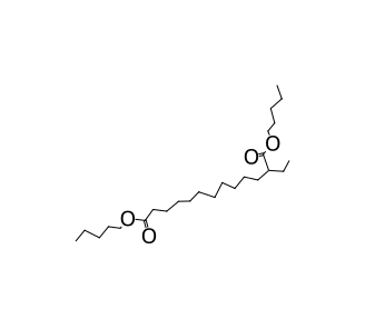 CCCCCOC(=O)CCCCCCCCCCC(CC)C(=O)OCCCCC